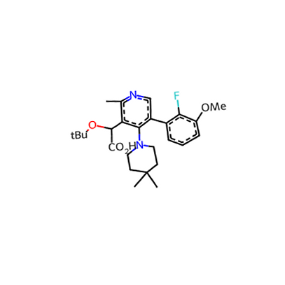 COc1cccc(-c2cnc(C)c(C(OC(C)(C)C)C(=O)O)c2N2CCC(C)(C)CC2)c1F